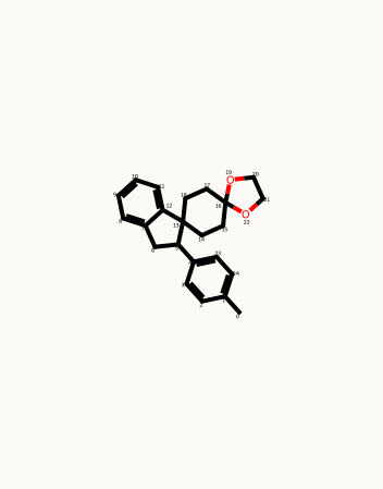 Cc1ccc(C2Cc3ccccc3C23CCC2(CC3)OCCO2)cc1